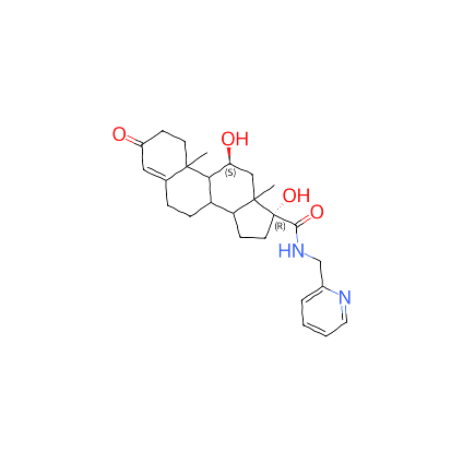 CC12CCC(=O)C=C1CCC1C2[C@@H](O)CC2(C)C1CC[C@]2(O)C(=O)NCc1ccccn1